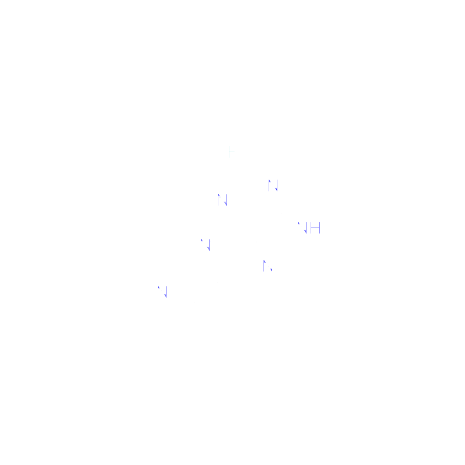 CN1CCN(c2nc(F)nc3[nH]cnc23)CC1